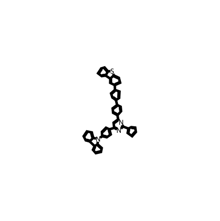 c1ccc(-c2nc(-c3ccc(-c4ccc(-c5ccc6sc7ccccc7c6c5)cc4)cc3)cc(-c3ccc(-n4c5ccccc5c5ccccc54)cc3)n2)cc1